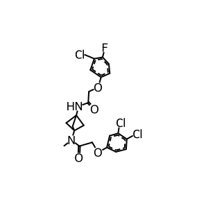 CN(C(=O)COc1ccc(Cl)c(Cl)c1)C12CC(NC(=O)COc3ccc(F)c(Cl)c3)(C1)C2